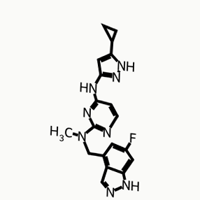 CN(Cc1cc(F)cc2[nH]ncc12)c1nccc(Nc2cc(C3CC3)[nH]n2)n1